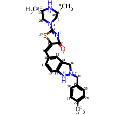 C[C@@H]1CN(C2=NC(=O)C(=Cc3ccc4c(c3)CN(Cc3ccc(C(F)(F)F)cc3)N4)S2)C[C@H](C)N1